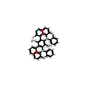 CC(C)c1c(-c2ccccc2F)c(N2c3ccccc3Sc3ccccc32)c(C(C)C)c(N2c3ccccc3Sc3ccccc32)c1-c1ccccc1F